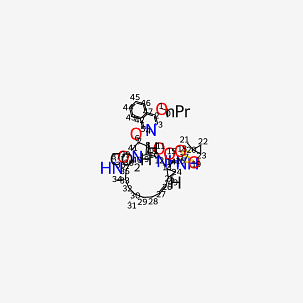 CCCOc1cnc(O[C@@H]2C[C@H]3C(=O)N[C@]4(C(=O)NS(=O)(=O)C5(C)CC5)C[C@H]4C=CCC[C@H](C)C[C@@H](C)[C@H](NC(=O)O)C(=O)N3C2)c2ccccc12